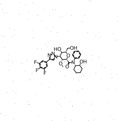 CO[C@@H]1[C@@H](n2cc(-c3cc(F)c(F)c(F)c3)nn2)[C@@H](O)[C@@H](CO)O[C@H]1C(=O)N(c1ccccc1)[C@H]1CCCC[C@@H]1O